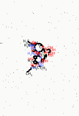 CCCCCCNC(=O)Oc1cc(C)c2c(c1)[C@@H](C(=O)NC(C)C)NC(=O)[C@H]1NC(=O)[C@H](NC(=O)[C@@H]3NC(=O)[C@H](CC(N)=O)NC(=O)[C@H](NC(=O)[C@@H](CC(C)C)NC)[C@H](O)c4ccc(c(C)c4)Oc4cc3cc(c4O[C@@H]3O[C@H](CO)[C@@H](O)[C@H](O)[C@H]3O)Oc3ccc(cc3Cl)[C@H]1O)c1ccc(O)c-2c1